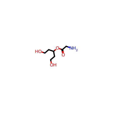 NCC(=O)OC(CCO)CCO